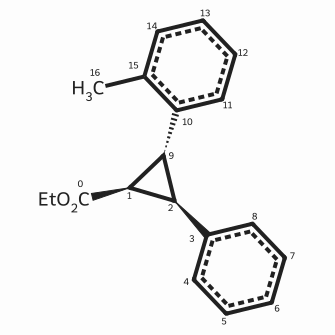 CCOC(=O)[C@@H]1[C@H](c2ccccc2)[C@H]1c1ccccc1C